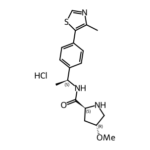 CO[C@H]1CN[C@H](C(=O)N[C@@H](C)c2ccc(-c3scnc3C)cc2)C1.Cl